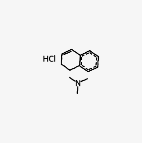 C1=Cc2ccccc2CC1.CN(C)C.Cl